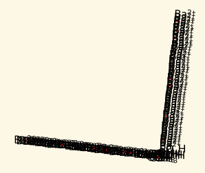 O=S(=O)(O)O.O=S(=O)(O)O.O=S(=O)(O)O.O=S(=O)(O)O.O=S(=O)(O)O.O=S(=O)(O)O.[Ba+2].[Ba+2].[Ba+2].[Ba+2].[Ba+2].[Ba+2].[Ba+2].[Ba+2].[Ba+2].[Ba+2].[Ba+2].[Ba+2].[Ba+2].[Ba+2].[Ba+2].[Ba+2].[Ba+2].[Ba+2].[Ba+2].[Ba+2].[Ba+2].[Ba+2].[Ba+2].[Ba+2].[Ba+2].[Ba+2].[Ba+2].[Ba+2].[Ba+2].[Ba+2].[Ba+2].[Ba+2].[Ba+2].[Ba+2].[Ba+2].[Ba+2].[Ba+2].[Ba+2].[Ba+2].[Ba+2].[Ba+2].[Ba+2].[Ba+2].[Ba+2].[Ba+2].[Ba+2].[Ba+2].[Ba+2].[Ba+2].[Ba+2].[Ba+2].[Ba+2].[Ba+2].[Ba+2].[Ba+2].[Ba+2].[Ba+2].[Ba+2].[Ba+2].[Ba+2].[Ba+2].[Ba+2].[Ba+2].[Ba+2].[Ba+2].[Ba+2].[Ba+2].[Ba+2].[Ba+2].[Ba+2].[Ba+2].[Ba+2].[Ba+2].[Ba+2].[Ba+2].[Ba+2].[Ba+2].[Ba+2].[Ba+2].[Ba+2].[Ba+2].[Ba+2].[Ba+2].[Ba+2].[Ba+2].[Ba+2].[Ba+2].[Ba+2].[Ba+2].[Ba+2].[Ba+2].[Ba+2].[Ba+2].[Ba+2].[Ba+2].[Ba+2].[Ba+2].[Ba+2].[Ba+2].[Ba+2].[Ba+2].[Ba+2].[Ba+2].[Ba+2].[Ba+2].[Ba+2].[Ba+2].[Ba+2]